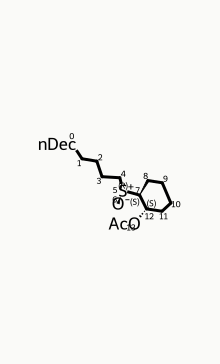 CCCCCCCCCCCCCC[S@+]([O-])[C@H]1CCCC[C@@H]1OC(C)=O